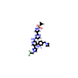 NC1(C2CCC(CN3CCC3)CC2)CC(Nc2ccnc(-c3cnn(S(=O)(=O)C4CC4)c3)n2)=NC=C1c1ccn(CC(F)F)n1